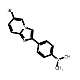 CN(C)c1ccc(-c2cn3cc(Br)ccc3n2)cc1